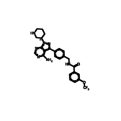 Nc1ncnc2c1c(-c1ccc(CNC(=O)c3cccc(OC(F)(F)F)c3)cc1)nn2[C@@H]1CCCNC1